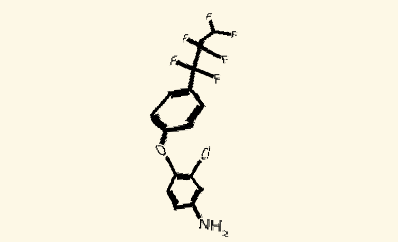 Nc1ccc(Oc2ccc(C(F)(F)C(F)(F)C(F)F)cc2)c(Cl)c1